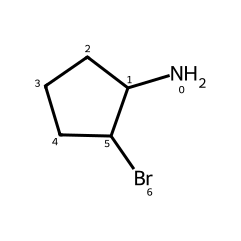 NC1CCCC1Br